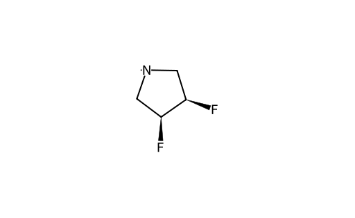 F[C@@H]1C[N]C[C@@H]1F